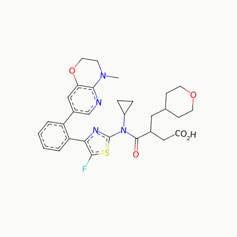 CN1CCOc2cc(-c3ccccc3-c3nc(N(C(=O)C(CC(=O)O)CC4CCOCC4)C4CC4)sc3F)cnc21